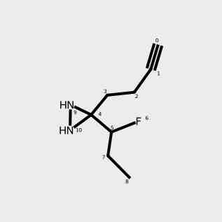 C#CCCC1(C(F)CC)NN1